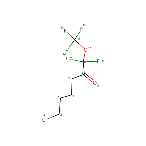 O=C(CCCCCl)C(F)(F)OC(F)(F)F